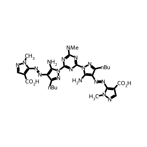 CCCCc1nn(-c2nc(NC)nc(-n3nc(CCCC)c(/N=N/c4c(C(=O)O)cnn4C)c3N)n2)c(N)c1/N=N/c1c(C(=O)O)cnn1C